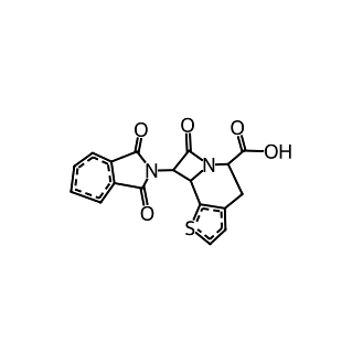 O=C(O)C1Cc2ccsc2C2C(N3C(=O)c4ccccc4C3=O)C(=O)N12